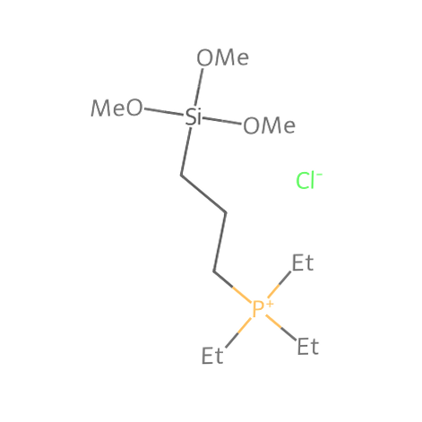 CC[P+](CC)(CC)CCC[Si](OC)(OC)OC.[Cl-]